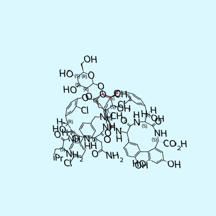 CC(C)C[C@H](N)C(=O)N[C@H]1C(=O)N[C@@H](CC(N)=O)C(=O)N[C@H]2C(=O)NC3C(=O)N[C@H](C(=O)N[C@H](C(=O)O)c4cc(O)cc(O)c4-c4cc3ccc4O)[C@H](O)c3ccc(c(Cl)c3)Oc3cc2cc(c3OC2O[C@H](CO)[C@@H](O)[C@H](O)[C@H]2O[C@H]2C[C@](C)(NCc3ccc(-c4ccc(Cl)cc4)cc3)[C@H](O)[C@H](C)O2)Oc2ccc(cc2Cl)[C@H]1O